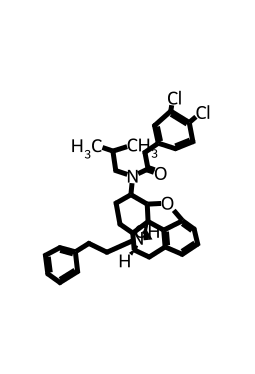 CC(C)CN(C(=O)Cc1ccc(Cl)c(Cl)c1)C1CC[C@@]2(O)[C@H]3Cc4cccc5c4[C@@]2(CCN3CCc2ccccc2)C1O5